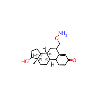 C[C@]12CC[C@@H]3C4C=CC(=O)C=C4C(CON)C[C@H]3[C@@H]1CCC2O